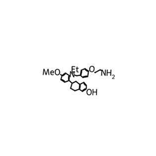 CCN(Cc1ccc(OCCN)cc1)c1cc(OC)ccc1C1CCc2cc(O)ccc2C1